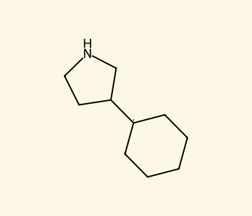 C1CC[C](C2CCNC2)CC1